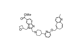 COC(=O)c1ccc2nc(CN3CCC(c4cccc(OCC5=Cc6ccc(C)nc6C=CC5)n4)CC3)n(CC3CCO3)c2c1